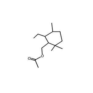 CCC1C(C)CCC(C)(C)C1COC(C)=O